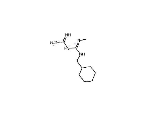 C/N=C(\NCC1CCCCC1)NC(=N)N